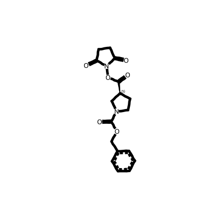 O=C(ON1C(=O)CCC1=O)[C@H]1CCN(C(=O)OCc2ccccc2)C1